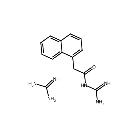 N=C(N)N.N=C(N)NC(=O)Cc1cccc2ccccc12